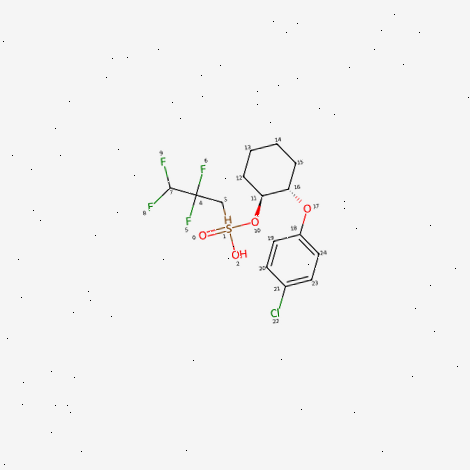 O=[SH](O)(CC(F)(F)C(F)F)O[C@H]1CCCC[C@@H]1Oc1ccc(Cl)cc1